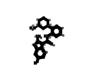 Nc1oc2cc(Br)cnc2c1C(=O)Nc1cnccc1N1CCC[C@@H](N)C1